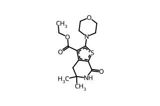 CCOC(=O)c1c(N2CCOCC2)sc2c1CC(C)(C)NC2=O